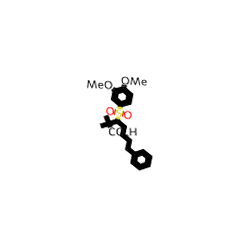 COc1ccc(S(=O)(=O)C(CCCCc2ccccc2)C(C)(C)C(=O)O)cc1OC